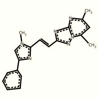 Cc1cc(C)n2nc(/C=C/c3nc(-c4ccccc4)cn3C)nc2n1